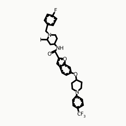 O=C(NC1CCN(Cc2ccc(F)cc2)C(I)C1)c1cc2ccc(OC3CCN(c4ccc(C(F)(F)F)cc4)CC3)cc2o1